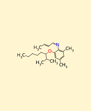 C/C=C/C=N\c1c(C)cc(C)cc1OC(CCCCC)C(C)C